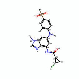 Cc1cc(S(C)(=O)=O)ccc1N(C)c1cc(NC(=O)[C@H]2C[C@H]2F)c2ncn(C)c2c1